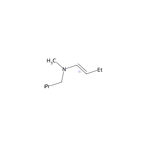 CC/C=C/N(C)CC(C)C